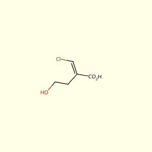 O=C(O)C(=CCl)CCO